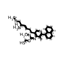 C=N/C(=N\c1c(CCC=CC(N)CNC)cnc(-c2cccc3ccccc23)c1F)OCS